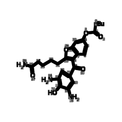 CCCCC(=O)Oc1ccc2c(C(=O)c3cc(N)c(O)c(N)c3)c(CCCCC(N)=O)oc2c1